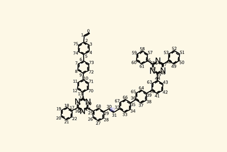 C=Cc1ccc(-c2ccc(-c3ccc(-c4nc(-c5ccccc5)nc(-c5cccc(/C=C/c6ccc(-c7ccc(-c8cccc(-c9nc(-c%10ccccc%10)nc(-c%10ccccc%10)n9)c8)cc7)cc6)c5)n4)cc3)cc2)cc1